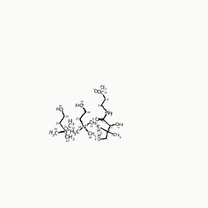 CC(C)(CO)C(O)C(=O)NCCC(=O)[O-].C[N+](C)(C)CCO.C[N+](C)(C)CCO.[Cl-]